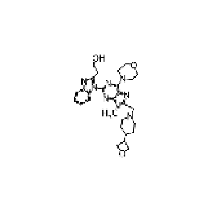 Cn1c(CN2CCC(C3COC3)CC2)nc2c(N3CCOCC3)nc(-n3c(CCO)nc4ccccc43)nc21